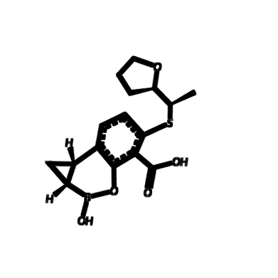 C[C@@H](Sc1ccc2c(c1C(=O)O)OB(O)[C@@H]1C[C@H]21)[C@H]1CCCO1